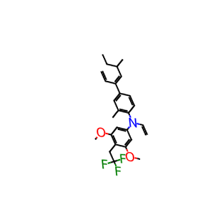 C=C/C(=C\C(C)CC)c1ccc(N(C=C)c2cc(OC)c(CC(F)(F)F)c(OC)c2)c(C)c1